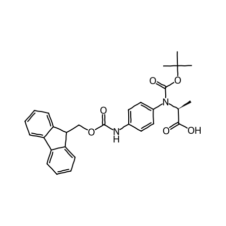 C[C@@H](C(=O)O)N(C(=O)OC(C)(C)C)c1ccc(NC(=O)OCC2c3ccccc3-c3ccccc32)cc1